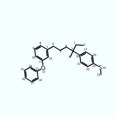 CCC(C)(CCCc1cccc(Oc2ccccc2)c1)c1ccc(SC)cc1